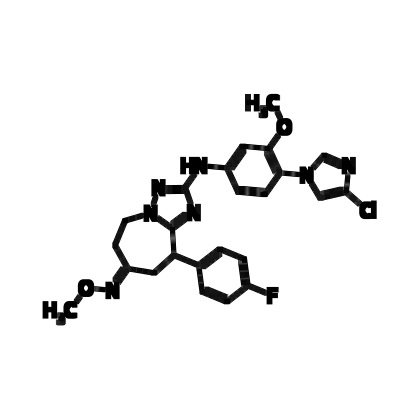 CON=C1CCn2nc(Nc3ccc(-n4cnc(Cl)c4)c(OC)c3)nc2C(c2ccc(F)cc2)C1